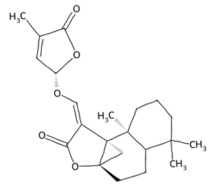 CC1=C[C@@H](O/C=C2\C(=O)O[C@]34CCC5C(C)(C)CCC[C@]5(C)[C@]23C4)OC1=O